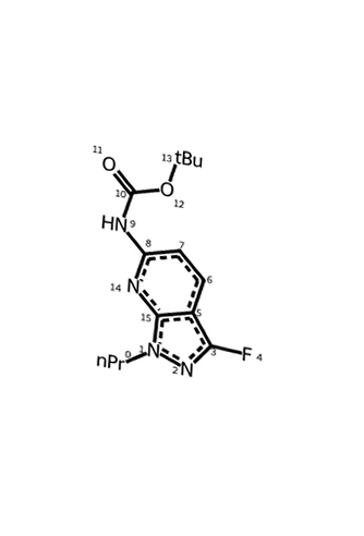 CCCn1nc(F)c2ccc(NC(=O)OC(C)(C)C)nc21